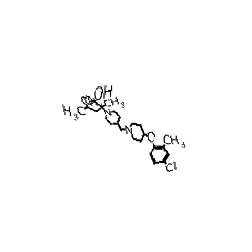 Cc1cc(Cl)ccc1OC1CCN(CC2CCN(C(C)(CC(C)C)C(=O)O)CC2)CC1